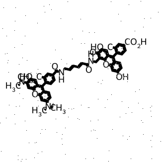 CN(C)c1ccc2c(-c3ccc(C(=O)NC/C=C/C=C/C(=O)NCc4c5oc6cc(O)ccc6c(-c6ccc(C(=O)O)cc6C(=O)O)c-5ccc4=O)cc3C(=O)O)c3ccc(=[N+](C)C)cc-3oc2c1